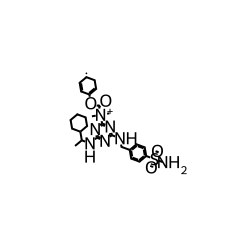 CC(Nc1nc(NCc2ccc(S(N)(=O)=O)cc2)nc([N+](C)(C)C(=O)OC2=CC[CH]C=C2)n1)C1CCCCC1